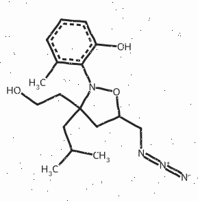 Cc1cccc(O)c1N1OC(CN=[N+]=[N-])CC1(CCO)CC(C)C